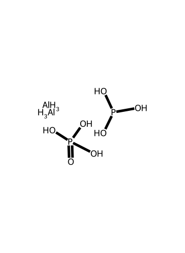 O=P(O)(O)O.OP(O)O.[AlH3].[AlH3]